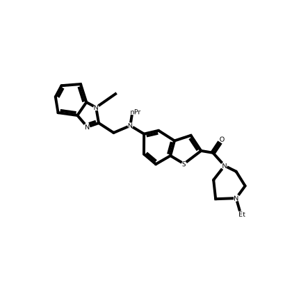 CCCN(Cc1nc2ccccc2n1C)c1ccc2sc(C(=O)N3CCN(CC)CC3)cc2c1